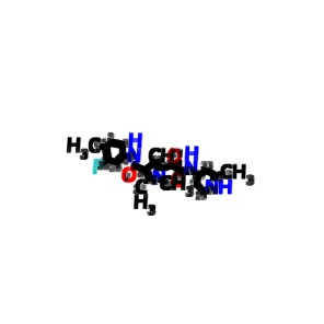 Cc1ccc(NC(=O)c2c(C)c(C(=O)C(=O)N[C@H]3CCN[C@H](C)C3)n(C)c2C)cc1F